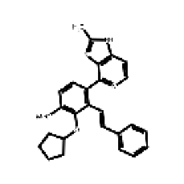 COc1ccc(-c2nccc3[nH]c(C)nc23)c(C=Cc2ccccc2)c1OC1CCCC1